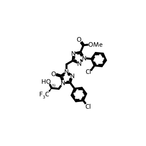 COC(=O)c1nc(Cn2nc(-c3ccc(Cl)cc3)n(C[C@H](O)C(F)(F)F)c2=O)nn1-c1ccccc1Cl